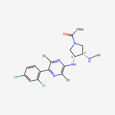 CCCN[C@H]1CN(C(=O)OC)C[C@H]1Nc1nc(CC)c(-c2ccc(Cl)cc2Cl)nc1CC